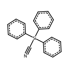 N#C[Si](c1ccccc1)(c1ccccc1)c1ccccc1